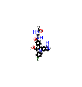 COCC(C)(C)c1c(-c2ccc(C(=O)NCCNC(C)=O)cc2)c2cc3[nH]ncc3cc2n1-c1ccc(F)cc1